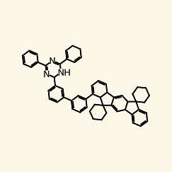 C1=CC2C3=CC4C(C=C3C3(CCCCC3)C2C(c2cccc(-c3cccc(C5N=C(c6ccccc6)N=C(C6=CCCC=C6)N5)c3)c2)=C1)c1ccccc1C41CCCCC1